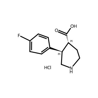 Cl.O=C(O)[C@@H]1CCNC[C@H]1c1ccc(F)cc1